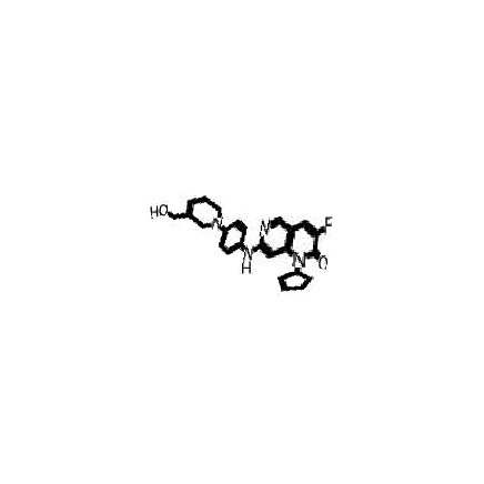 O=c1c(F)cc2cnc(Nc3ccc(N4CCCC(CO)C4)cc3)cc2n1C1CCCC1